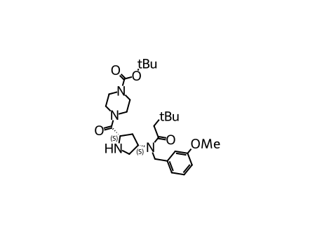 COc1cccc(CN(C(=O)CC(C)(C)C)[C@@H]2CN[C@H](C(=O)N3CCN(C(=O)OC(C)(C)C)CC3)C2)c1